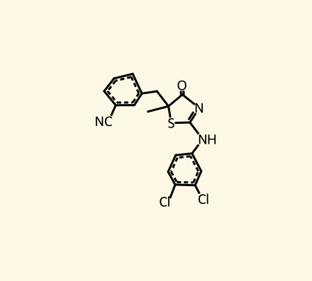 CC1(Cc2cccc(C#N)c2)SC(Nc2ccc(Cl)c(Cl)c2)=NC1=O